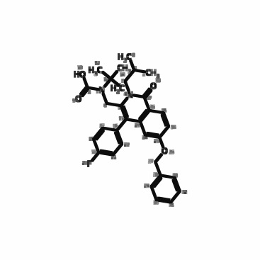 CC(C)Cn1c(CN(C(=O)O)C(C)(C)C)c(-c2ccc(F)cc2)c2cc(OCc3ccccc3)ccc2c1=O